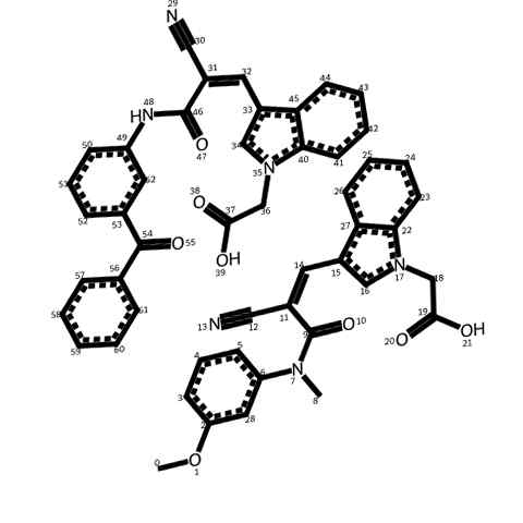 COc1cccc(N(C)C(=O)C(C#N)=Cc2cn(CC(=O)O)c3ccccc23)c1.N#CC(=Cc1cn(CC(=O)O)c2ccccc12)C(=O)Nc1cccc(C(=O)c2ccccc2)c1